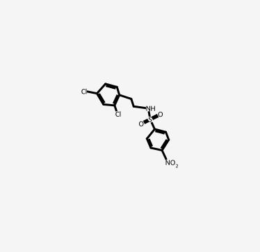 O=[N+]([O-])c1ccc(S(=O)(=O)NCCc2ccc(Cl)cc2Cl)cc1